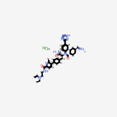 CCN(CC)CCNC(=O)c1ccc(-c2ccc(C[C@@H](C(N)=O)N(c3ccc(-c4nn[nH]n4)cc3)C(=O)[C@H]3CC[C@H](CN)CC3)cc2)c(C)n1.Cl